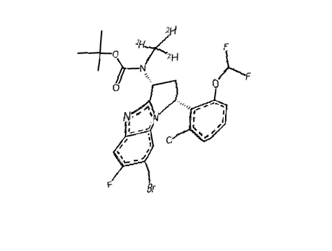 [2H]C([2H])([2H])N(C(=O)OC(C)(C)C)[C@@H]1C[C@H](c2c(Cl)cccc2OC(F)F)n2c1nc1cc(F)c(Br)cc12